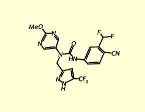 COc1ncc(N(Cc2cc(C(F)(F)F)[nH]n2)C(=O)Nc2ccc(C#N)c(C(F)F)c2)cn1